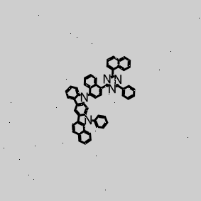 c1ccc(-c2nc(-c3cccc4ccccc34)nc(-c3ccc(-n4c5ccccc5c5cc6c7ccc8ccccc8c7n(-c7ccccc7)c6cc54)c4ccccc34)n2)cc1